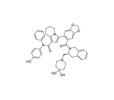 O=C(c1cc(-c2cc3c(cc2C(=O)N2Cc4ccccc4C[C@H]2CN2CCS(O)(O)CC2)OCO3)n2c1CCCC2)N(c1ccccc1)c1ccc(O)cc1